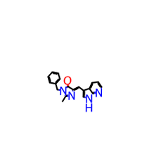 CC1=N/C(=C\c2c[nH]c3ncccc23)C(=O)N1Cc1ccccc1